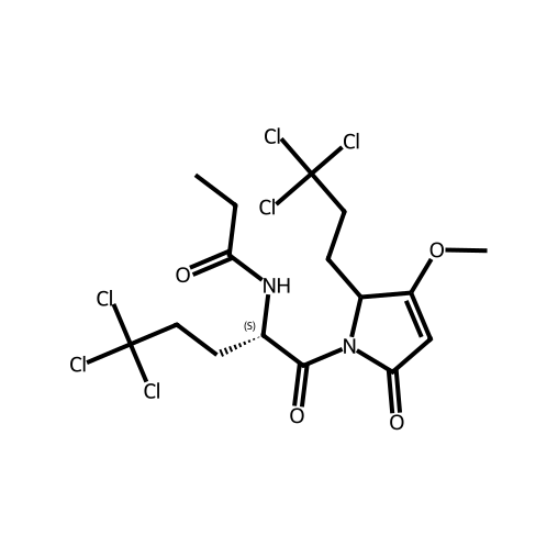 CCC(=O)N[C@@H](CCC(Cl)(Cl)Cl)C(=O)N1C(=O)C=C(OC)C1CCC(Cl)(Cl)Cl